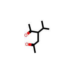 CC(=O)CC(C(C)=O)C(C)C